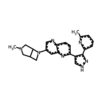 Cc1cccc(-c2n[nH]cc2-c2ccc3ncc(N4CC5CN(C)CC54)cc3n2)n1